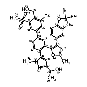 Cc1nc(-c2ccc3c(c2)OC(F)(F)O3)c(-c2cc(-c3cc(F)c(CO)c(S(C)(=O)=O)c3)ccc2-c2cc(C(C)O)nn2C)o1